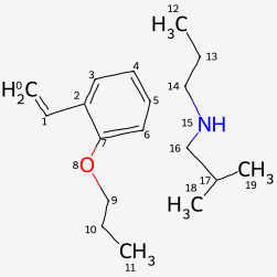 C=Cc1ccccc1OCCC.CCCNCC(C)C